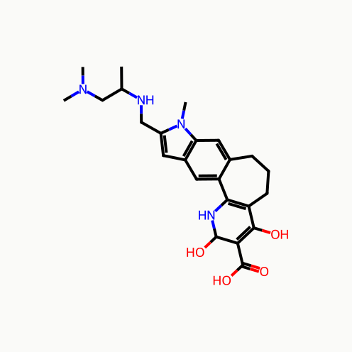 CC(CN(C)C)NCc1cc2cc3c(cc2n1C)CCCC1=C3NC(O)C(C(=O)O)=C1O